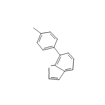 Fc1ccc(-c2cccc3ccoc23)cc1